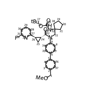 COCc1ccc(-c2ccc(N(CC3(NC(=O)OC(C)(C)C)CCCC3)C(=O)[C@@H]3C[C@H]3c3cccc(F)n3)cc2)cc1